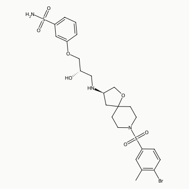 Cc1cc(S(=O)(=O)N2CCC3(CC2)C[C@@H](NC[C@H](O)COc2cccc(S(N)(=O)=O)c2)CO3)ccc1Br